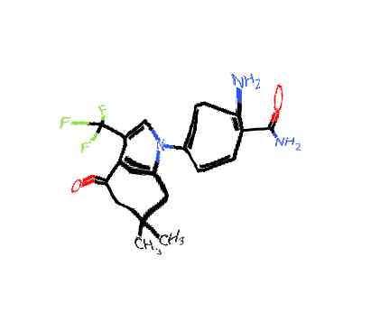 CC1(C)CC(=O)c2c(C(F)(F)F)cn(-c3ccc(C(N)=O)c(N)c3)c2C1